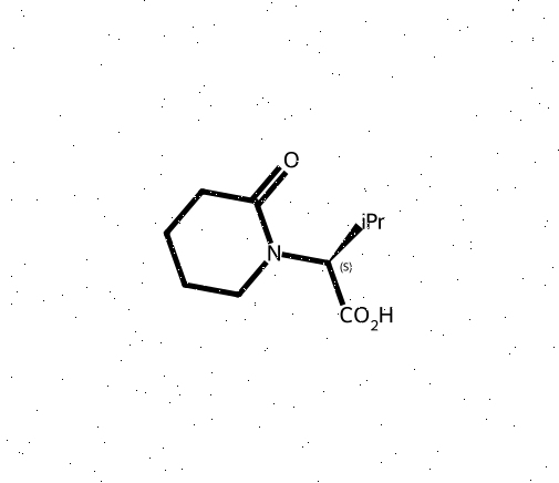 CC(C)[C@@H](C(=O)O)N1CCCCC1=O